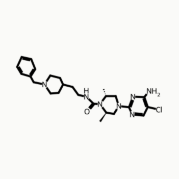 C[C@@H]1CN(c2ncc(Cl)c(N)n2)C[C@@H](C)N1C(=O)NCCC1CCN(Cc2ccccc2)CC1